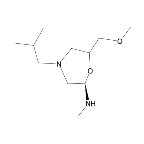 CN[C@H]1CN(CC(C)C)CC(COC)O1